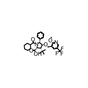 COc1ncc(C(F)(F)F)cc1CO[C@H]1[C@H](C(C)(C)C)[C@@H](C(=O)O)N(C(=O)C2CCCCC2)[C@H]1c1ccccc1